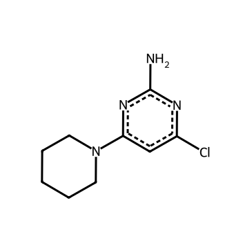 Nc1nc(Cl)cc(N2CCCCC2)n1